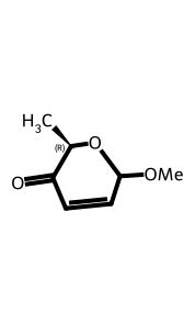 COC1C=CC(=O)[C@@H](C)O1